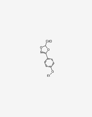 CCOc1ccc(C2=NOC(C=O)O2)cc1